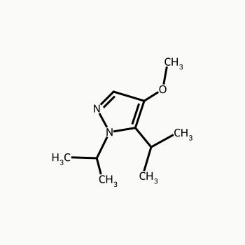 COc1cnn(C(C)C)c1C(C)C